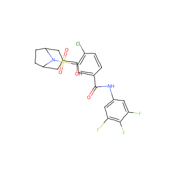 O=C(Nc1cc(F)c(F)c(F)c1)c1ccc(Cl)c(S(=O)(=O)N2C3CCC2CC(CO)C3)c1